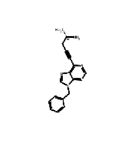 N[C@H](CC#Cc1ncnc2c1ncn2Cc1ccccc1)C(=O)O